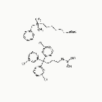 CCCCCCCCCCCCCCCC[N+](C)(C)Cc1ccccc1.OB(O)OCCCC(c1cccc(Cl)c1)(c1cccc(Cl)c1)c1cccc(Cl)c1